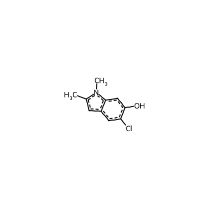 Cc1cc2cc(Cl)c(O)cc2n1C